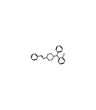 Clc1ccccc1C(c1ccccc1)N1CCC(/N=C/c2ccccc2)CC1